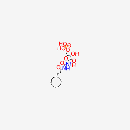 O=C(CC[C@@H]1C/C=C\CCCCCC1)NC(=O)NC1OC(COP(=O)(O)O)C(O)C1O